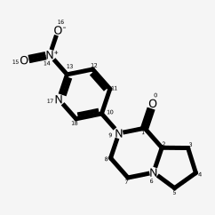 O=C1C2CCCN2CCN1c1ccc([N+](=O)[O-])nc1